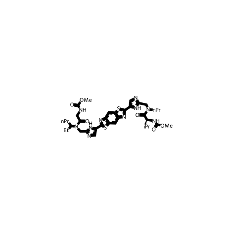 CCCC(CC)N(Cc1ncc(-c2nc3cc4sc(-c5cnc(CN(CCC)C(=O)[C@@H](NC(=O)OC)C(C)C)[nH]5)nc4cc3s2)[nH]1)C(=O)CNC(=O)OC